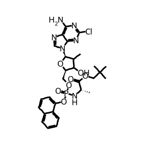 CC1C(O)[C@@H](COP(=O)(N[C@@H](C)C(=O)OCC(C)(C)C)Oc2cccc3ccccc23)O[C@H]1n1cnc2c(N)nc(Cl)nc21